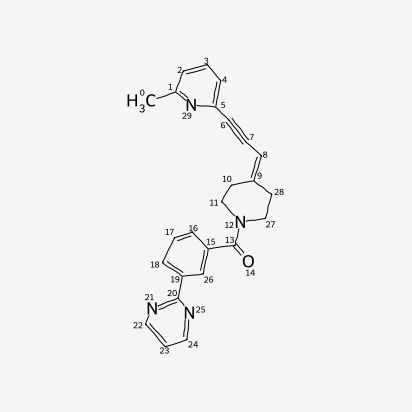 Cc1cccc(C#CC=C2CCN(C(=O)c3cccc(-c4ncccn4)c3)CC2)n1